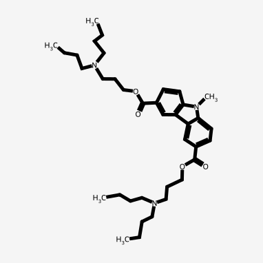 CCCCN(CCCC)CCCOC(=O)c1ccc2c(c1)c1cc(C(=O)OCCCN(CCCC)CCCC)ccc1n2C